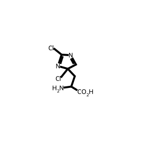 NC(CC1(Cl)C=NC(Cl)=N1)C(=O)O